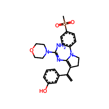 C=C(C1=C(/N=C(\N)N2CCOCC2)N(c2ccc(S(C)(=O)=O)cc2)CC1)c1cccc(O)c1